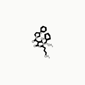 CCCCc1nc(=O)c(C(=O)N2CC[C@@H](c3ccccc3)C2)c(O)n1[C@@H](C)c1ccccc1